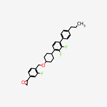 CCCc1ccc(-c2ccc(C3CCC(OCc4ccc(C5CO5)cc4F)CC3)c(F)c2F)cc1